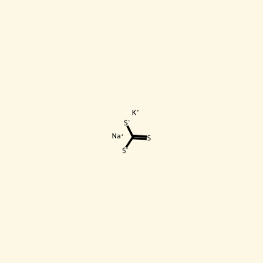 S=C([S-])[S-].[K+].[Na+]